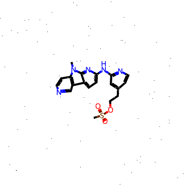 Cn1c2ccncc2c2ccc(Nc3cc(CCOS(C)(=O)=O)ccn3)nc21